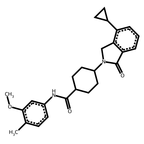 COc1cc(NC(=O)C2CCC(N3Cc4c(cccc4C4CC4)C3=O)CC2)ccc1C